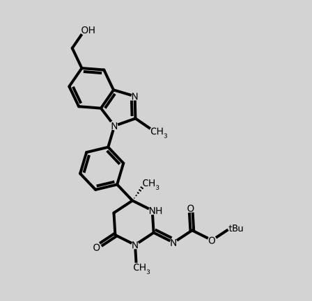 Cc1nc2cc(CO)ccc2n1-c1cccc([C@]2(C)CC(=O)N(C)/C(=N/C(=O)OC(C)(C)C)N2)c1